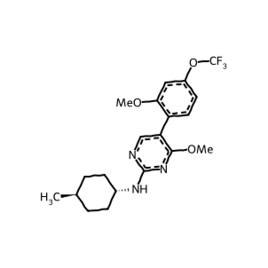 COc1cc(OC(F)(F)F)ccc1-c1cnc(N[C@H]2CC[C@H](C)CC2)nc1OC